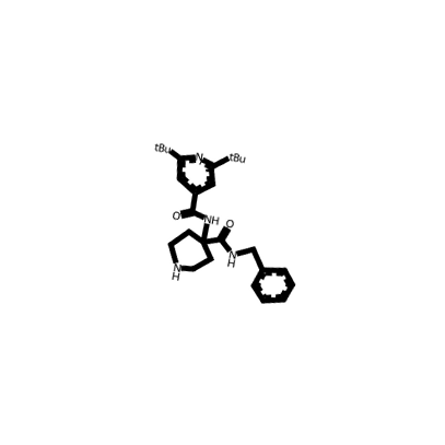 CC(C)(C)c1cc(C(=O)NC2(C(=O)NCc3ccccc3)CCNCC2)cc(C(C)(C)C)n1